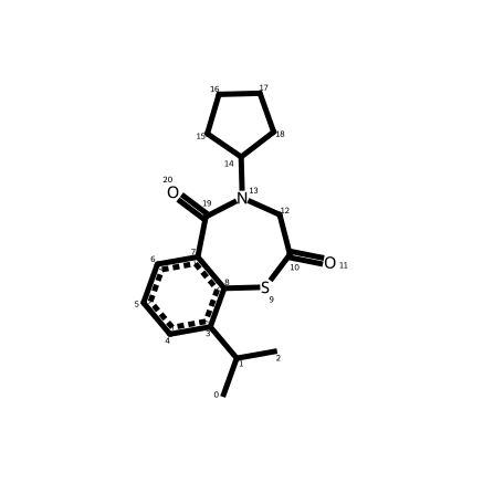 CC(C)c1cccc2c1SC(=O)CN(C1CCCC1)C2=O